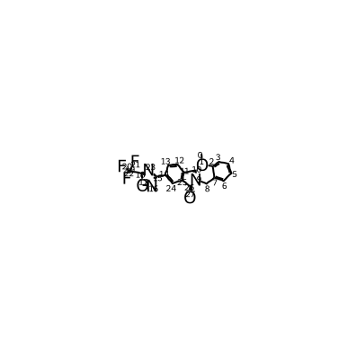 COc1ccccc1CN1Cc2ccc(-c3noc(C(F)(F)F)n3)cc2C1=O